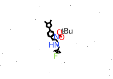 CC1CC(c2ccc3cc(CNCC45CC4(F)C5)n(C(=O)OC(C)(C)C)c3c2)CC1C